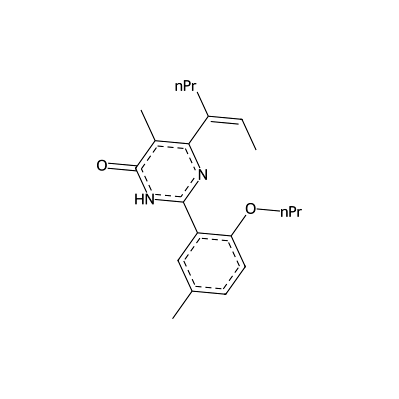 C/C=C(/CCC)c1nc(-c2cc(C)ccc2OCCC)[nH]c(=O)c1C